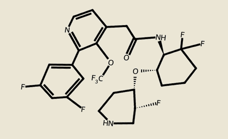 O=C(Cc1ccnc(-c2cc(F)cc(F)c2)c1OC(F)(F)F)N[C@@H]1[C@@H](O[C@H]2CCNC[C@H]2F)CCCC1(F)F